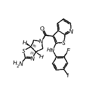 NC1=N[C@H]2CN(C(=O)c3c(Nc4ccc(I)cc4F)sc4ncccc34)C[C@H]2S1